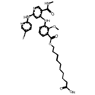 CNC(=O)c1cnc(Nc2ccc(F)cn2)cc1Nc1cccc(C(=O)OCCCCCCCCCC(=O)O)c1OC